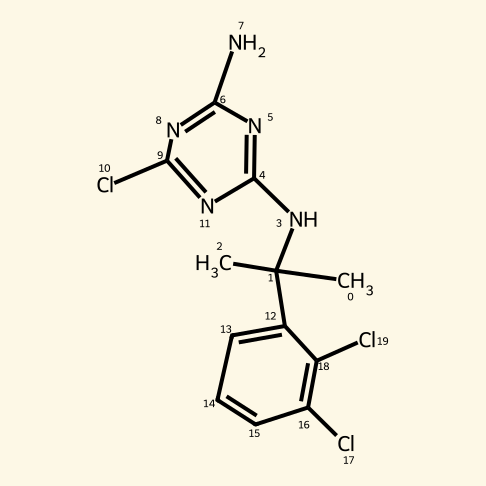 CC(C)(Nc1nc(N)nc(Cl)n1)c1cccc(Cl)c1Cl